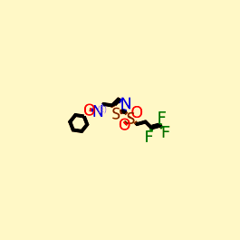 O=S(=O)(CCC(F)=C(F)F)c1ncc(/C=N/OC2CCCCC2)s1